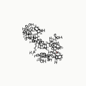 CC(=O)NC(O)(CC(=O)O)C(=O)N[C@@H](CS)C(=O)N[C@@H](C)C(=O)N[C@@H](CCc1c[nH]c2ccccc12)C(=O)N[C@@H](CCCCN)C(=O)N[C@@H](CC(C)C)C(=O)NCC(=O)N[C@@H](CCC(=O)O)C(=O)N[C@@H](CC(C)C)C(=O)N[C@H](C(=O)N[C@@H](Cc1c[nH]c2ccccc12)C(=O)N[C@@H](CS)C(=O)N[C@H](C(=O)O)[C@@H](C)O)C(C)C